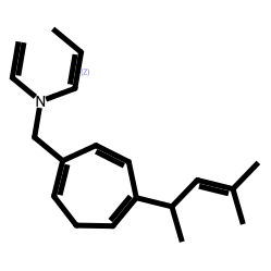 C=CN(/C=C\C)CC1=CCC=C(C(C)C=C(C)C)C=C1